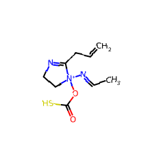 C=CCC1=NCC[N+]1(N=CC)OC(=O)S